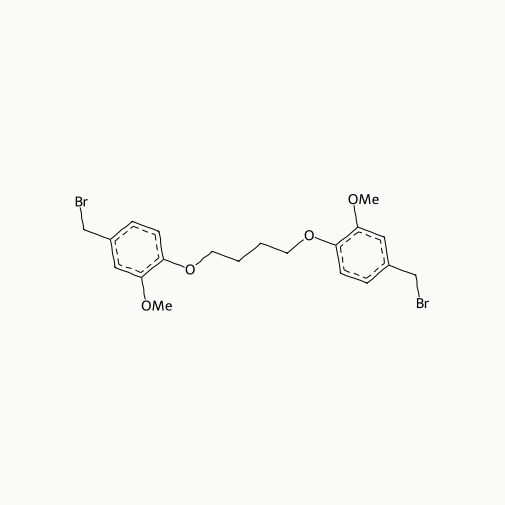 COc1cc(CBr)ccc1OCCCCOc1ccc(CBr)cc1OC